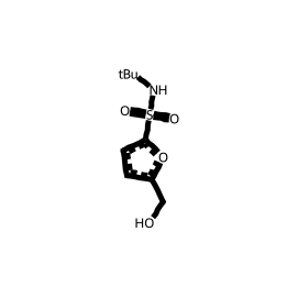 CC(C)(C)NS(=O)(=O)c1ccc(CO)o1